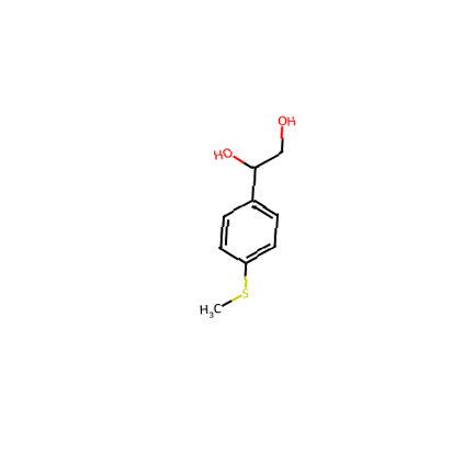 CSc1ccc(C(O)CO)cc1